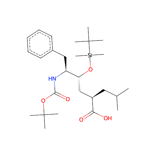 CC(C)C[C@H](C[C@@H](O[Si](C)(C)C(C)(C)C)[C@H](Cc1ccccc1)NC(=O)OC(C)(C)C)C(=O)O